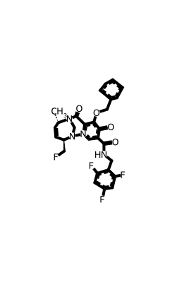 C[C@H]1C=C[C@H](CF)N2CN1C(=O)c1c(OCc3ccccc3)c(=O)c(C(=O)NCc3c(F)cc(F)cc3F)cn12